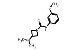 CSc1cccc(NC(=O)N2CC(N(C)C)C2)c1